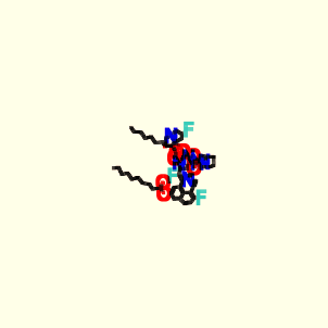 C#Cc1c(F)ccc2cc(OC(=O)CCCCCCCCC)cc(-c3ncc4c(N5CC6CCC(C5)N6C(=O)OCOC(=O)CCCCCCCCC)nc(OC[C@@]56CCCN5C[C@H](F)C6)nc4c3F)c12